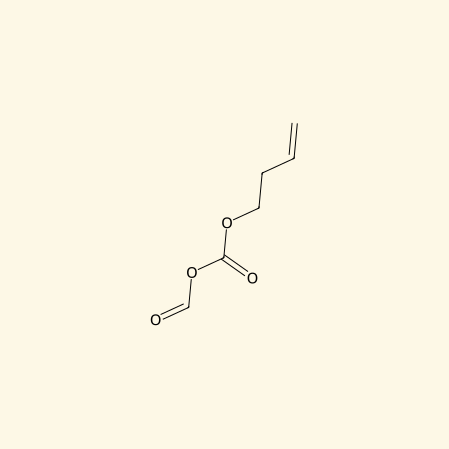 C=CCCOC(=O)OC=O